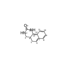 O=C1NCC2CC=c3ccccc3=C2N1